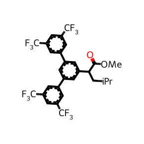 COC(=O)C(CC(C)C)c1cc(-c2cc(C(F)(F)F)cc(C(F)(F)F)c2)cc(-c2cc(C(F)(F)F)cc(C(F)(F)F)c2)c1